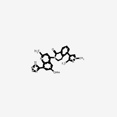 COc1cc(-c2nnn[nH]2)c2nc(C)cc(N3CCc4c(cccc4-c4cn(C)nc4C(F)(F)F)C3=O)c2c1